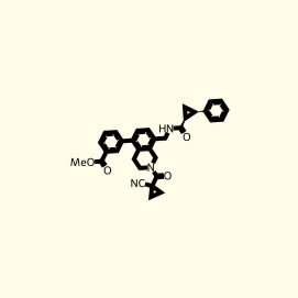 COC(=O)c1cccc(-c2ccc(CNC(=O)[C@H]3C[C@@H]3c3ccccc3)c3c2CCN(C(=O)C2(C#N)CC2)C3)c1